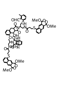 COC(=O)c1cc2cccc(SCCC(=O)NCC(COc3cccc(C)c3C=O)N3C(=O)C4Cc5cccc(OCC(CNC(=O)CCSc6cccc7cc(C(=O)OC)c(C(=O)OC)cc67)N6C(=O)[C@@H]7[C@H](C6=O)[C@H]6C=C[C@@H]7O6)c5C(O)C4C3=O)c2cc1C(=O)OC